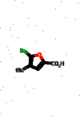 CC(C)(C)c1cc(C(=O)O)oc1Br